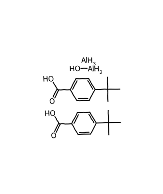 CC(C)(C)c1ccc(C(=O)O)cc1.CC(C)(C)c1ccc(C(=O)O)cc1.[AlH3].[OH][AlH2]